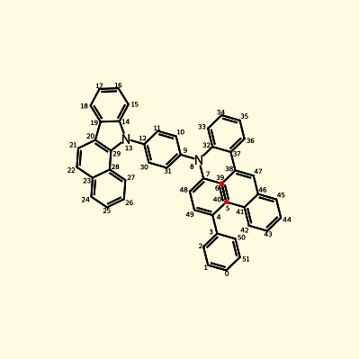 c1ccc(-c2ccc(N(c3ccc(-n4c5ccccc5c5ccc6ccccc6c54)cc3)c3ccccc3-c3ccc4ccccc4c3)cc2)cc1